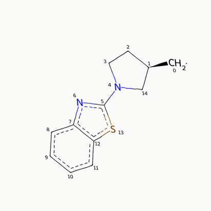 [CH2][C@@H]1CCN(c2nc3ccccc3s2)C1